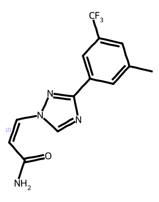 Cc1cc(-c2ncn(/C=C\C(N)=O)n2)cc(C(F)(F)F)c1